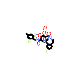 Cc1cc(F)c(CNC(=O)c2cn3c(c(O)c2=O)C(=O)N2CCc4cc(F)c(F)cc4[C@]3(C)C2)c(F)c1